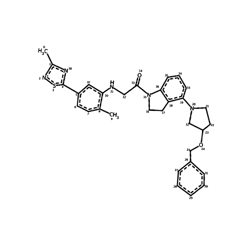 Cc1nsc(-c2ccc(C)c(NCC(=O)N3CCc4c(N5CCC(OCc6ccccc6)C5)cccc43)c2)n1